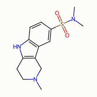 CN1CCc2[nH]c3ccc(S(=O)(=O)N(C)C)cc3c2C1